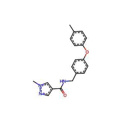 Cc1ccc(Oc2ccc(CNC(=O)c3cnn(C)c3)cc2)cc1